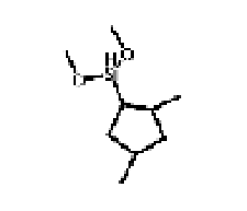 CO[SiH](OC)C1CC(C)CC1C